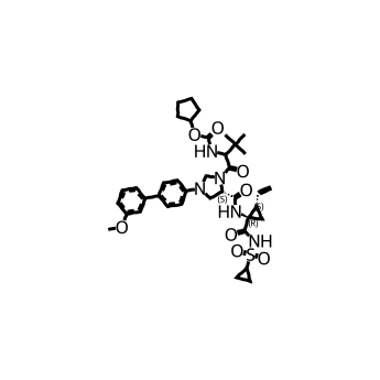 C=C[C@@H]1C[C@]1(NC(=O)[C@@H]1CN(c2ccc(-c3cccc(OC)c3)cc2)CN1C(=O)C(NC(=O)OC1CCCC1)C(C)(C)C)C(=O)NS(=O)(=O)C1CC1